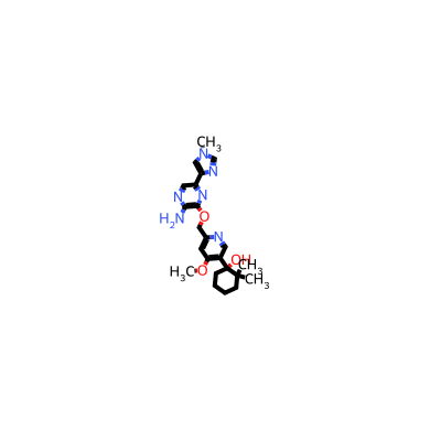 COc1cc(COc2nc(-c3cn(C)cn3)cnc2N)ncc1C1(O)CCCCC1(C)C